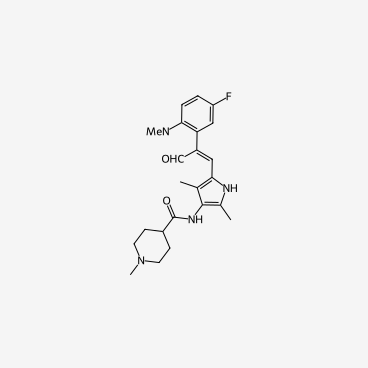 CNc1ccc(F)cc1/C(C=O)=C/c1[nH]c(C)c(NC(=O)C2CCN(C)CC2)c1C